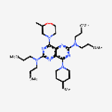 COCCN(CCOC)c1nc(N2CCOC(C)C2)c2nc(N(CCOC)CCOC)nc(N3CCC(OC)CC3)c2n1